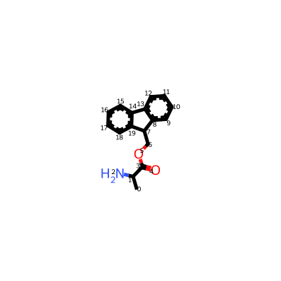 CC(N)C(=O)OCC1c2ccccc2-c2ccccc21